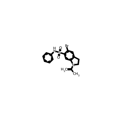 C=C(C)N1CCc2cc(Br)c(S(=O)(=O)Nc3ccccc3)cc21